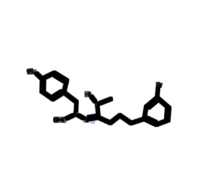 CCN(C)/C(CCCc1cccc(Br)c1)=N\N(C=O)Cc1ccc(C(C)(C)C)cc1